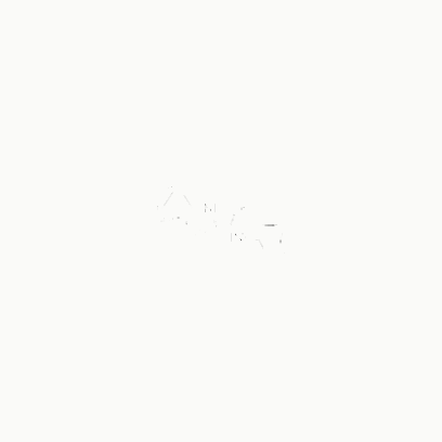 Cc1cccc(NC(=O)C(Cl)Nc2cccc(C)c2)c1